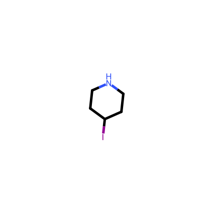 IC1CCNCC1